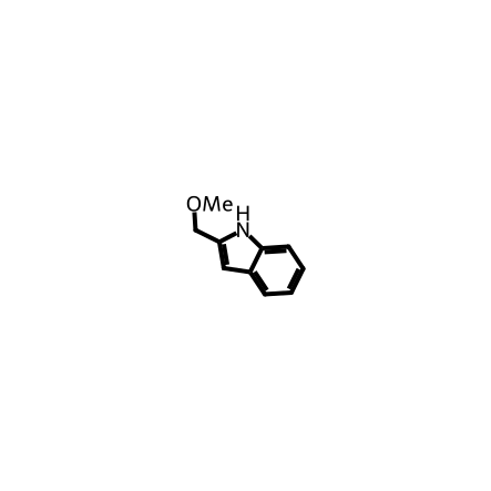 [CH2]OCc1cc2ccccc2[nH]1